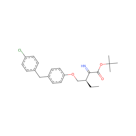 CC[C@@H](COc1ccc(Cc2ccc(Cl)cc2)cc1)C(=N)C(=O)OC(C)(C)C